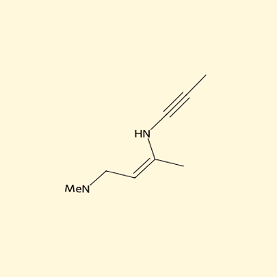 CC#CNC(C)=CCNC